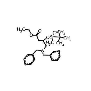 CCOC(=O)CC(CN(Cc1ccccc1)Cc1ccccc1)O[Si](C)(C)C(C)(C)C